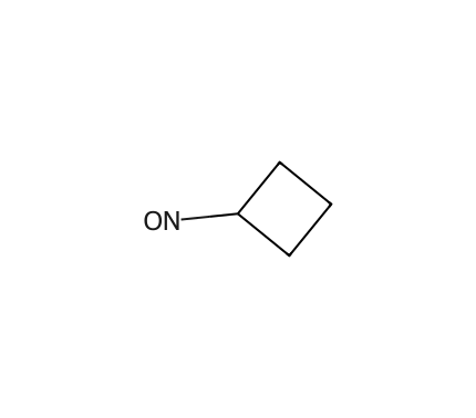 O=NC1CCC1